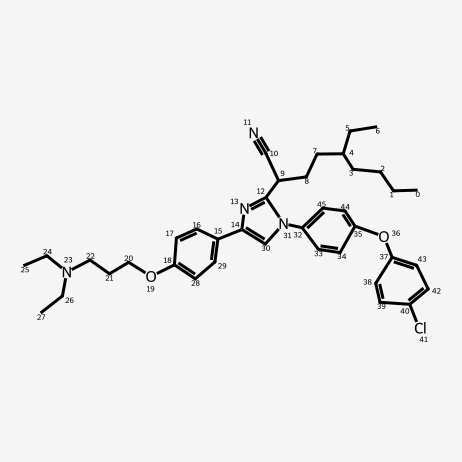 CCCCC(CC)CCC(C#N)c1nc(-c2ccc(OCCCN(CC)CC)cc2)cn1-c1ccc(Oc2ccc(Cl)cc2)cc1